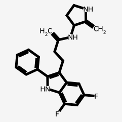 C=C(CCc1c(-c2ccccc2)[nH]c2c(F)cc(F)cc12)NC1CCNC1=C